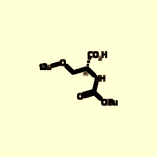 CC(C)COC(=O)N[C@H](COC(C)(C)C)C(=O)O